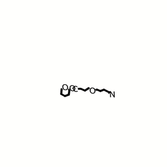 N#CCCCOCCCCOC1CCCCO1